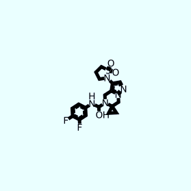 O=S1(=O)CCCN1c1cnn2c1CN(C(O)Nc1ccc(F)c(F)c1)C1(CC1)C2